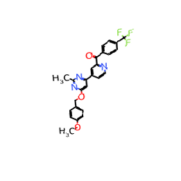 COc1ccc(COc2cc(-c3ccnc(C(=O)c4ccc(C(F)(F)F)cc4)c3)nc(C)n2)cc1